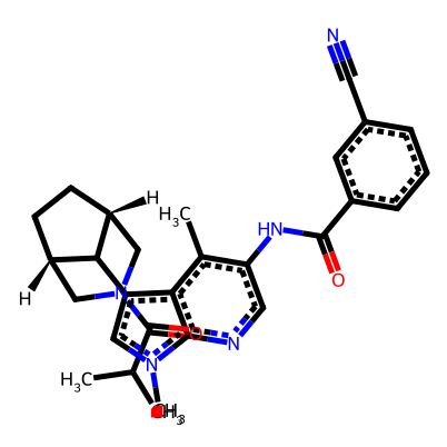 Cc1c(NC(=O)c2cccc(C#N)c2)cnc2c1c(C1[C@@H]3CC[C@H]1CN(C(=O)C(C)C)C3)cn2C